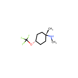 CN[C@]1(C)CC[C@H](OC(F)(F)F)CC1